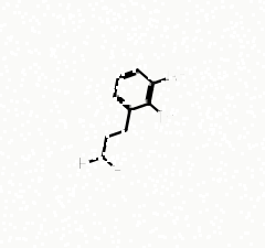 FC(F)CCc1cccc(Br)c1Br